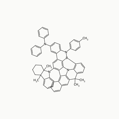 Cc1ccc(N2B3c4cccc5c4-n4c6c3c(cc(N3c7ccccc7C7(C)CCCCC37C)c6c3c6ccccc6cc(c34)C5(C)C)-c3cc(N(c4ccccc4)c4ccccc4)ccc32)cc1